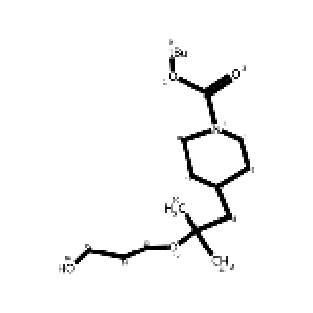 CC(C)(C)OC(=O)N1CCC(CC(C)(C)OCCCO)CC1